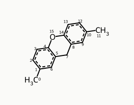 Cc1ccc2c(c1)Cc1cc(C)ccc1O2